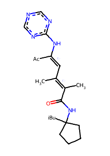 CCC(C)C1(NC(=O)/C(C)=C(C)/C=C(/Nc2ncncn2)C(C)=O)CCCC1